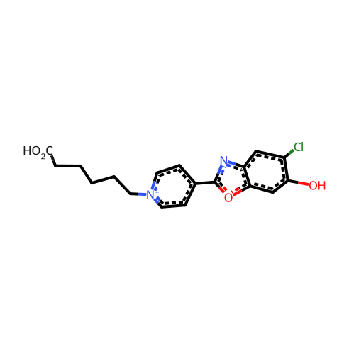 O=C(O)CCCCC[n+]1ccc(-c2nc3cc(Cl)c(O)cc3o2)cc1